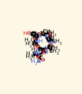 CCC(C)[C@@H]1NC(=O)[C@H](Cc2ccc(O)cc2)N(C)C(=O)[C@H](C(C)CC)N2C=CC3(NC(=O)[C@H](CC(C)C)NC(=O)[C@@H](NC(=O)[C@H](CCC(N)=O)NC(=O)C(C)C)[C@@H](C)OC1=O)[C@H](C2=O)[C@@H]3C